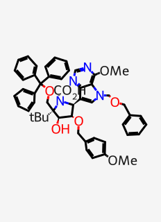 COc1ccc(CO[C@@H]2[C@@H](O)[C@](COC(c3ccccc3)(c3ccccc3)c3ccccc3)(C(C)(C)C)N(C(=O)O)[C@H]2c2cn(COCc3ccccc3)c3c(OC)ncnc23)cc1